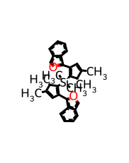 CC1=CC(c2occ3ccccc23)=C([Si](C)(C)C2=C(c3occ4ccccc34)C=C(C)C2C)C1C